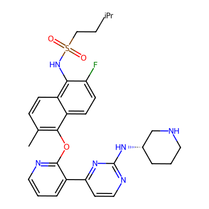 Cc1ccc2c(NS(=O)(=O)CCC(C)C)c(F)ccc2c1Oc1ncccc1-c1ccnc(N[C@H]2CCCNC2)n1